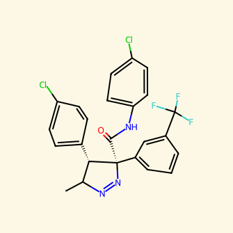 CC1N=N[C@](C(=O)Nc2ccc(Cl)cc2)(c2cccc(C(F)(F)F)c2)[C@H]1c1ccc(Cl)cc1